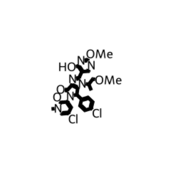 COCC(C)n1c(-c2cnc(OC)nc2O)nc2c1C(c1ccc(Cl)cc1)N(c1cc(Cl)cn(C)c1=O)C2=O